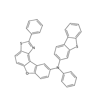 c1ccc(-c2nc3c(ccc4oc5ccc(N(c6ccccc6)c6ccc7c(c6)sc6ccccc67)cc5c43)s2)cc1